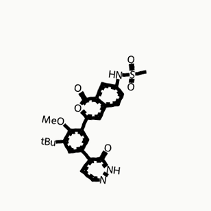 COc1c(-c2cc3ccc(NS(C)(=O)=O)cc3c(=O)o2)cc(-c2ccn[nH]c2=O)cc1C(C)(C)C